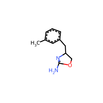 Cc1cccc(CC2COC(N)=N2)c1